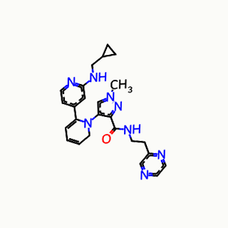 Cn1cc(N2CC=CC=C2c2ccnc(NCC3CC3)c2)c(C(=O)NCCc2cnccn2)n1